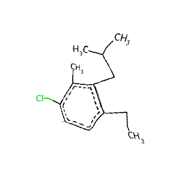 CCc1c[c]c(Cl)c(C)c1CC(C)C